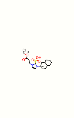 CCOC(=O)CCN1C=CN(C2CCC3CCCCC3C2)C1S(=O)(=O)O